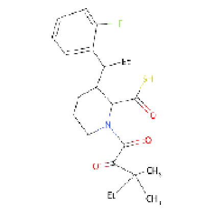 CCC(c1ccccc1F)C1CCCN(C(=O)C(=O)C(C)(C)CC)C1C(=O)S